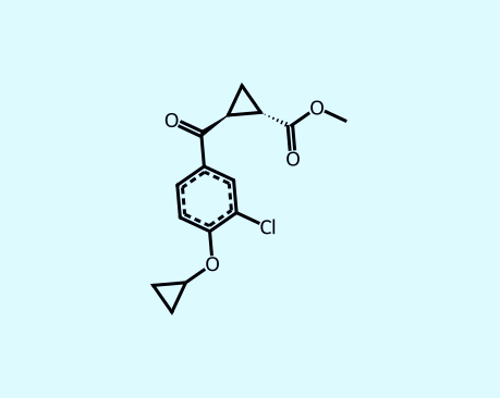 COC(=O)[C@H]1C[C@@H]1C(=O)c1ccc(OC2CC2)c(Cl)c1